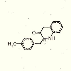 Cc1ccc(C[C@@H]2Nc3ccccc3CC2=O)cc1